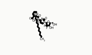 CCCCCCCCCCCC1(C(=O)Nc2ccn([C@@H]3O[C@H](CO)[C@@H](O)C3(F)F)c(=O)n2)NC=CC=C1C(=O)O